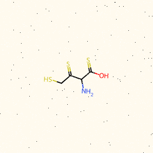 NC(C(O)=S)C(=S)CS